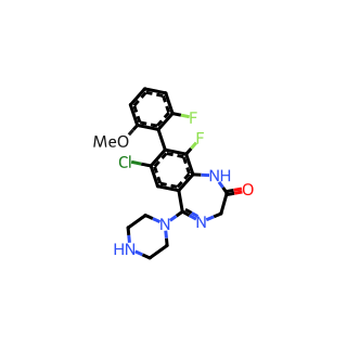 COc1cccc(F)c1-c1c(Cl)cc2c(c1F)NC(=O)CN=C2N1CCNCC1